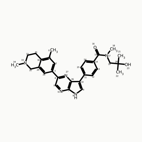 Cc1cc(-c2cnc3[nH]cc(-c4ccc(C(=O)N(C)CC(C)(C)O)cc4)c3n2)cc2c1CCN(C)C2